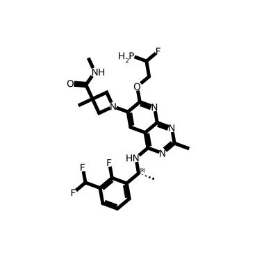 CNC(=O)C1(C)CN(c2cc3c(N[C@H](C)c4cccc(C(F)F)c4F)nc(C)nc3nc2OCC(F)P)C1